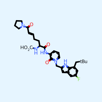 CC(C)(C)Cc1cc(F)cc2cc(Cn3cccc(NC(=O)C(CCC=CC(=O)N4CCCC4)NC(=O)O)c3=O)[nH]c12